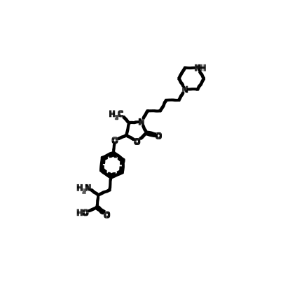 CC1C(Oc2ccc(CC(N)C(=O)O)cc2)OC(=O)N1CCCCN1CCNCC1